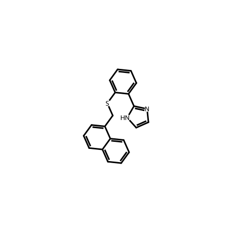 c1ccc(-c2ncc[nH]2)c(SCc2cccc3ccccc23)c1